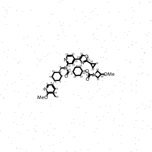 COc1ncc([C@H]2CC[C@H](CN(c3cc(-c4coc(C5CC5)n4)ccn3)C(=O)[C@H]3CC[C@H](OC(=O)N4CC(OC)C4)CC3)CC2)cc1C